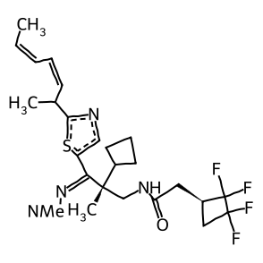 C/C=C\C=C/C(C)c1ncc(/C(=N/NC)[C@@](C)(CNC(=O)C[C@@H]2CC(F)(F)C2(F)F)C2CCC2)s1